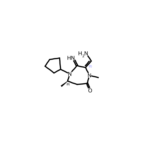 C[C@@H]1CC(=O)N(C)/C(=C/N)C(=N)N1C1CCCC1